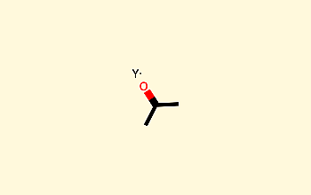 CC(C)=O.[Y]